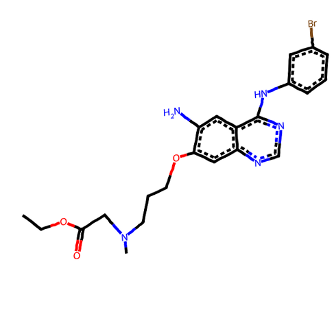 CCOC(=O)CN(C)CCCOc1cc2ncnc(Nc3cccc(Br)c3)c2cc1N